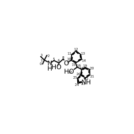 CC(C)(C)NCC(O)COc1ccccc1C(O)c1cccc2[nH]ccc12